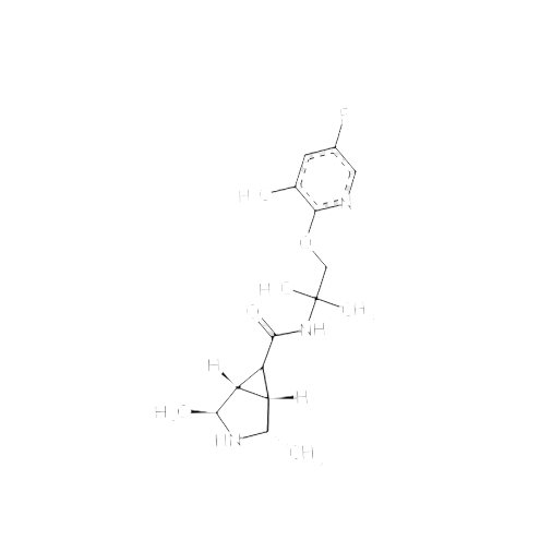 Cc1cc(F)cnc1OCC(C)(C)NC(=O)C1[C@@H]2[C@H]1[C@H](C)N[C@H]2C